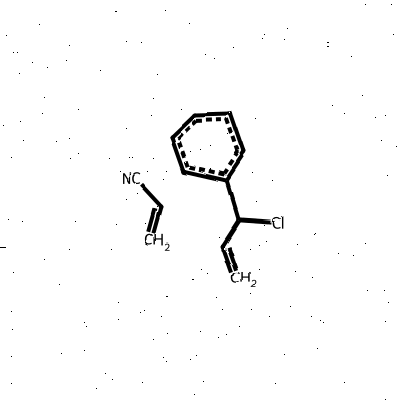 C=CC#N.C=CC(Cl)c1ccccc1